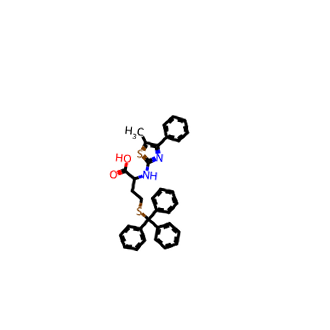 Cc1sc(NC(CCSC(c2ccccc2)(c2ccccc2)c2ccccc2)C(=O)O)nc1-c1ccccc1